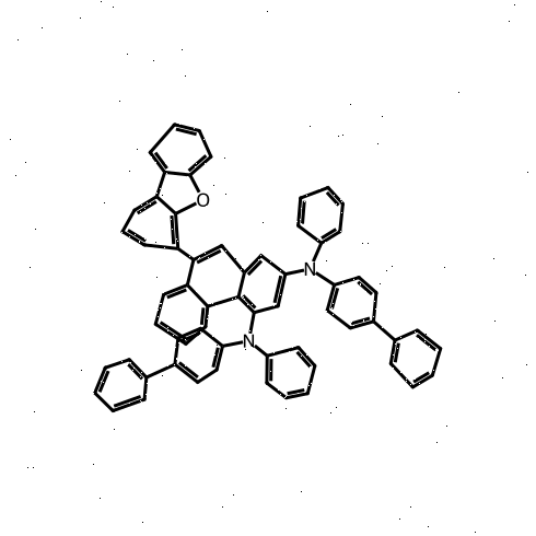 c1ccc(-c2ccc(N(c3ccccc3)c3cc(N(c4ccccc4)c4ccc(-c5ccccc5)cc4)c4c(c3)cc(-c3cccc5c3oc3ccccc35)c3ccccc34)cc2)cc1